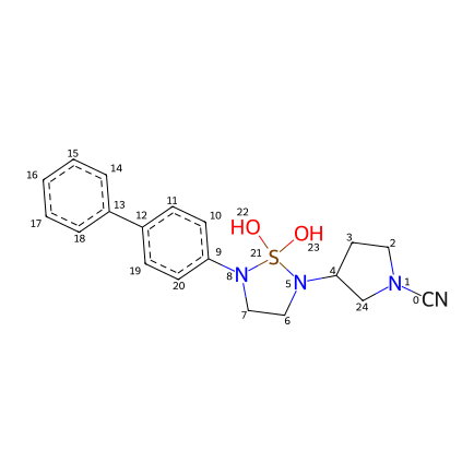 N#CN1CCC(N2CCN(c3ccc(-c4ccccc4)cc3)S2(O)O)C1